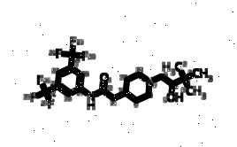 CC(C)(C)C(O)CN1CCC(CC(=O)Nc2cc(C(F)(F)F)cc(C(F)(F)F)c2)CC1